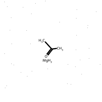 CC(C)=O.[MgH2]